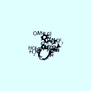 COc1ccc2c(O[C@@H]3C[C@H]4C(=O)N[C@]5(C(=O)NS(=O)(=O)C6CC6)C[C@H]5C=CCCCCC[C@H](N)C(=O)N4C3)cc(-c3nc(C(F)(F)F)cs3)nc2c1Cl.Cl